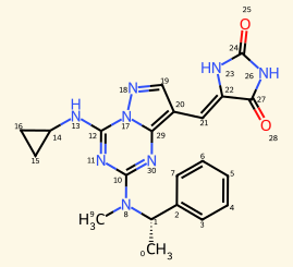 C[C@@H](c1ccccc1)N(C)c1nc(NC2CC2)n2ncc(/C=C3\NC(=O)NC3=O)c2n1